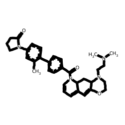 Cc1cc(N2CCCC2=O)ccc1-c1ccc(C(=O)N2C=CC=C3C=C4OCCN(CCN(C)C)C4CC32)cc1